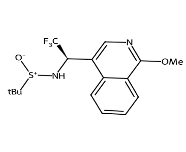 COc1ncc([C@@H](N[S+]([O-])C(C)(C)C)C(F)(F)F)c2ccccc12